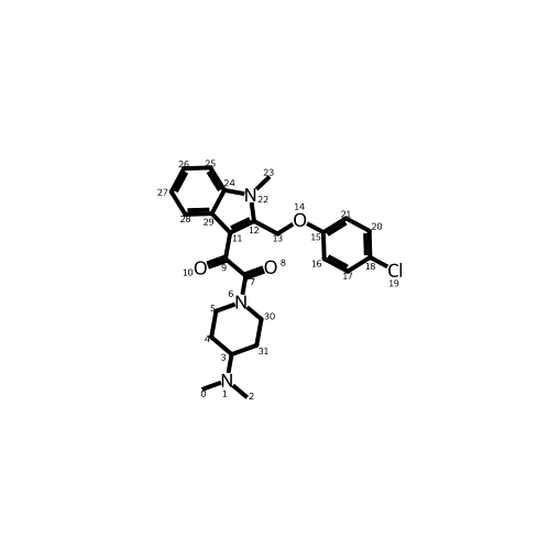 CN(C)C1CCN(C(=O)C(=O)c2c(COc3ccc(Cl)cc3)n(C)c3ccccc23)CC1